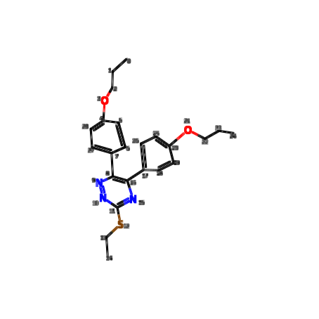 CCCOc1ccc(-c2nnc(SCC)nc2-c2ccc(OCCC)cc2)cc1